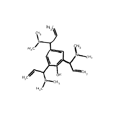 C=CC(c1cc(C(C=C)N(C)C)c(O)c(C(C=C)N(C)C)c1)N(C)C